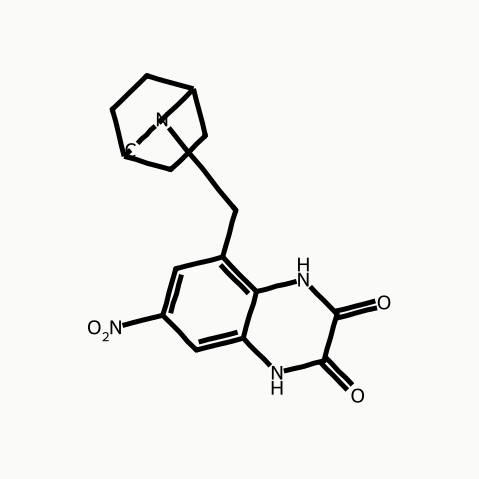 O=c1[nH]c2cc([N+](=O)[O-])cc(CN3CC4CCC(CC4)C3)c2[nH]c1=O